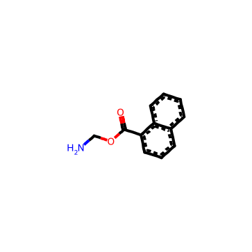 NCOC(=O)c1cccc2ccccc12